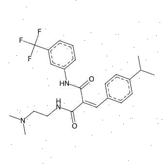 CC(C)c1ccc(C=C(C(=O)NCCN(C)C)C(=O)Nc2cccc(C(F)(F)F)c2)cc1